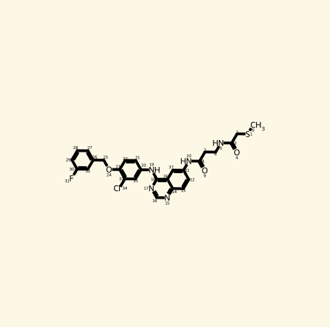 CSCC(=O)NCCC(=O)Nc1ccc2ncnc(Nc3ccc(OCc4cccc(F)c4)c(Cl)c3)c2c1